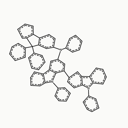 c1ccc(N(c2ccc3c(c2)C(c2ccccc2)(c2ccccc2)c2ccccc2-3)c2cc(-c3ccc4c(c3)c3ccccc3n4-c3ccccc3)c3c(c2)c2ccccc2n3-c2ccccc2)cc1